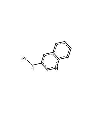 CC(C)Nc1[c]nc2ccccc2c1